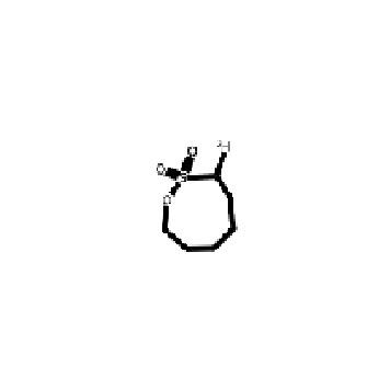 [2H]C1CCCCCOS1(=O)=O